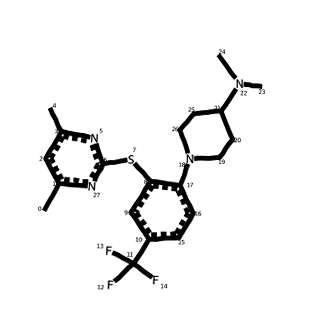 Cc1cc(C)nc(Sc2cc(C(F)(F)F)ccc2N2CCC(N(C)C)CC2)n1